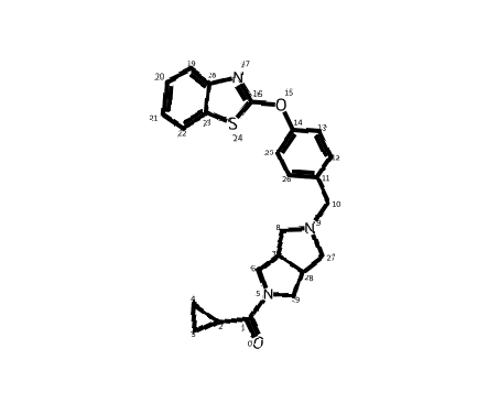 O=C(C1CC1)N1CC2CN(Cc3ccc(Oc4nc5ccccc5s4)cc3)CC2C1